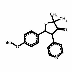 CCCCOc1ccc(C2OC(C)(C)C(=O)C2c2ccncc2)cc1